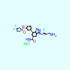 CNC(=O)c1cc(-c2cccc(S(=O)(=O)N3CCC(F)(F)C3)c2)c2nnn(C/C(F)=C/CN)c2c1.Cl